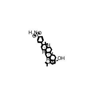 C=C(C)[C@@H]1CC[C@]2(CO)CC[C@]3(C)[C@H](CC[C@@H]4[C@@]5(C)CC=C(c6ccc(S(N)(=O)=O)cc6)C(C)(C)[C@@H]5CC[C@]43C)[C@@H]12